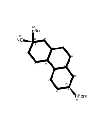 CCCCC[C@H]1CCC2C(CCC3C[C@@](C#N)(CCCC)CCC32)C1